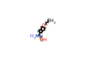 CCCCOc1ccc2cc(C(N)=NSO)ccc2c1